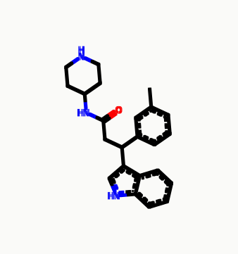 Cc1cccc(C(CC(=O)NC2CCNCC2)c2c[nH]c3ccccc23)c1